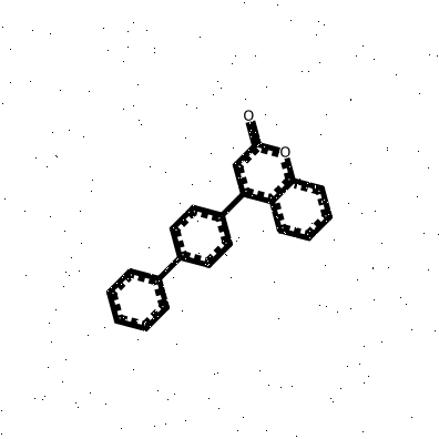 O=c1cc(-c2ccc(-c3ccccc3)cc2)c2ccccc2o1